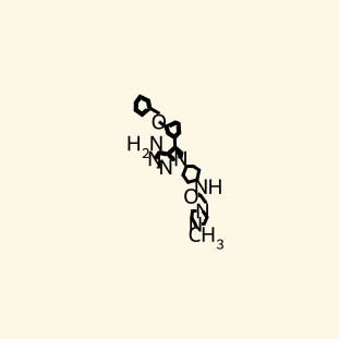 CN1CCN(CC(=O)N[C@H]2CC[C@@H](n3cc(-c4cccc(OCc5ccccc5)c4)c4c(N)ncnc43)CC2)CC1